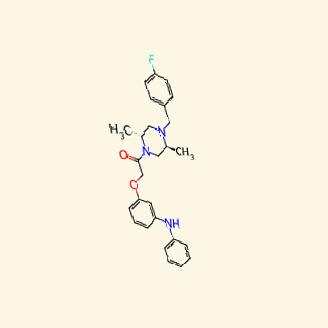 C[C@@H]1CN(Cc2ccc(F)cc2)[C@@H](C)CN1C(=O)COc1cccc(Nc2ccccc2)c1